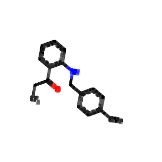 COc1ccc(CNc2ccccc2C(=O)CC(F)(F)F)cc1